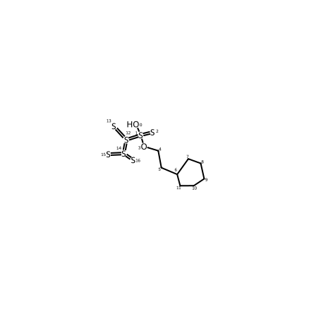 OS(=S)(OCCC1CCCCC1)=S(=S)=S(=S)=S